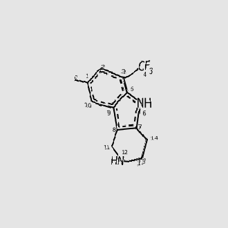 Cc1cc(C(F)(F)F)c2[nH]c3c(c2c1)CNCC3